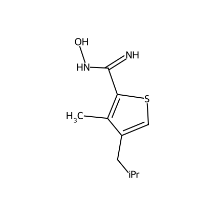 Cc1c(CC(C)C)csc1C(=N)NO